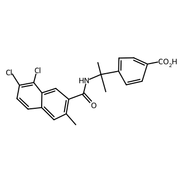 Cc1cc2ccc(Cl)c(Cl)c2cc1C(=O)NC(C)(C)c1ccc(C(=O)O)cc1